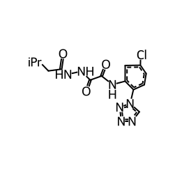 CC(C)CC(=O)NNC(=O)C(=O)Nc1cc(Cl)ccc1-n1cnnn1